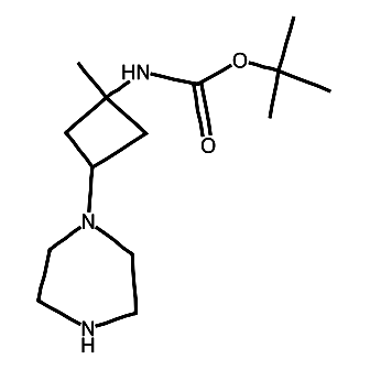 CC1(NC(=O)OC(C)(C)C)CC(N2CCNCC2)C1